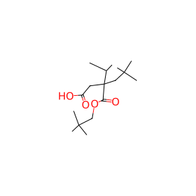 CC(C)C(CC(=O)O)(CC(C)(C)C)C(=O)OCC(C)(C)C